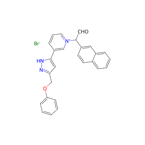 O=CC(c1ccc2ccccc2c1)[n+]1cccc(-c2cc(COc3ccccc3)n[nH]2)c1.[Br-]